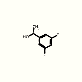 C[C@H](O)c1cc(F)cc(F)c1